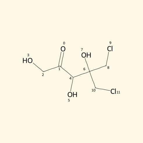 O=C(CO)C(O)C(O)(CCl)CCl